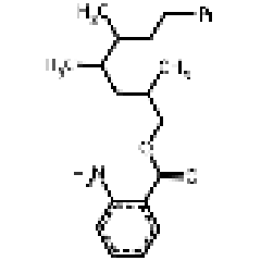 CC(C)CCC(C)C(C)CC(C)COC(=O)c1ccccc1N